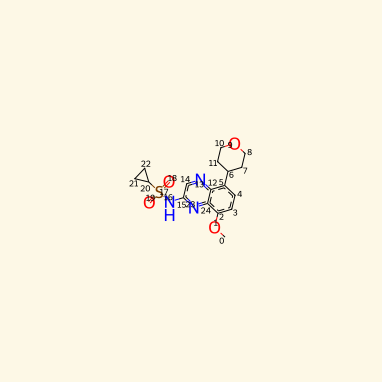 COc1ccc(C2CCOCC2)c2ncc(NS(=O)(=O)C3CC3)nc12